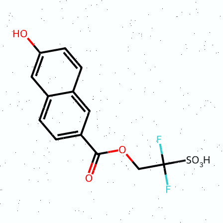 O=C(OCC(F)(F)S(=O)(=O)O)c1ccc2cc(O)ccc2c1